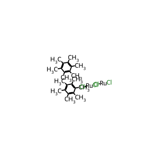 Cc1c(C)c(C)c(C)c(C)c1C.Cc1c(C)c(C)c(C)c(C)c1C.[Cl][Ru][Cl].[Cl][Ru][Cl]